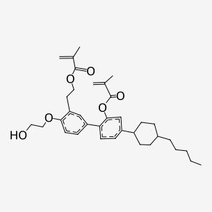 C=C(C)C(=O)OCCc1cc(-c2ccc(C3CCC(CCCCC)CC3)cc2OC(=O)C(=C)C)ccc1OCCO